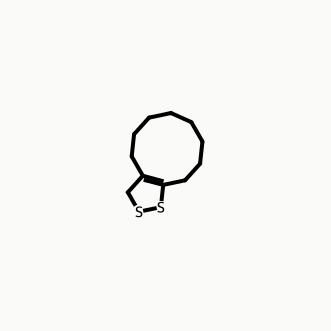 C1CCCCC2=C(CCC1)CSS2